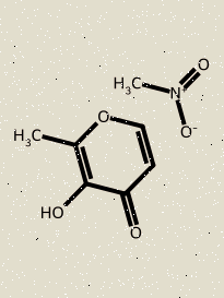 C[N+](=O)[O-].Cc1occc(=O)c1O